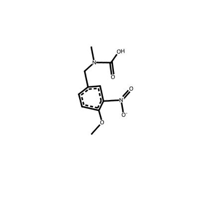 COc1ccc(CN(C)C(=O)O)cc1[N+](=O)[O-]